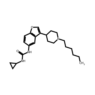 CCCCCCN1CCC(c2coc3ccc(NC(=O)NC4CC4)cc23)CC1